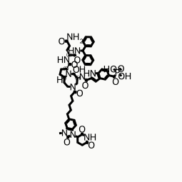 Cn1c(=O)n(C2CCC(=O)NC2=O)c2ccc(CCCCCC(=O)N3CC[C@H]4CC[C@@H](C(=O)N[C@@H](CCC(N)=O)C(=O)NC(c5ccccc5)c5ccccc5)N4C(=O)[C@@H](NC(=O)c4cc5cc(C(=O)P(=O)(O)O)ccc5[nH]4)C3)cc21